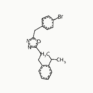 CC(C)c1ccccc1CCc1nnc(Cc2ccc(Br)cc2)o1